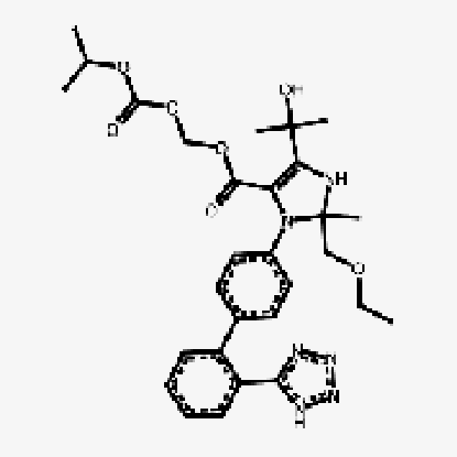 CCOCC1(C)NC(C(C)(C)O)=C(C(=O)OCOC(=O)OC(C)C)N1c1ccc(-c2ccccc2-c2nnn[nH]2)cc1